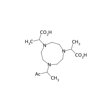 CC(=O)C(C)N1CCN(C(C)C(=O)O)CCN(C(C)C(=O)O)CC1